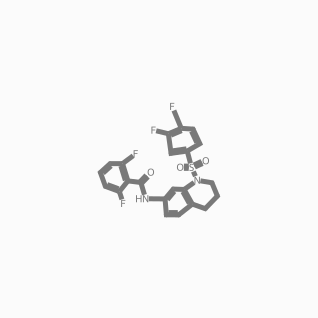 O=C(Nc1ccc2c(c1)N(S(=O)(=O)c1ccc(F)c(F)c1)CCC2)c1c(F)cccc1F